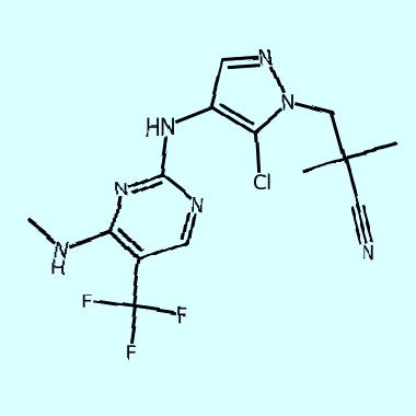 CNc1nc(Nc2cnn(CC(C)(C)C#N)c2Cl)ncc1C(F)(F)F